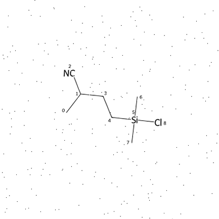 CC(C#N)CC[Si](C)(C)Cl